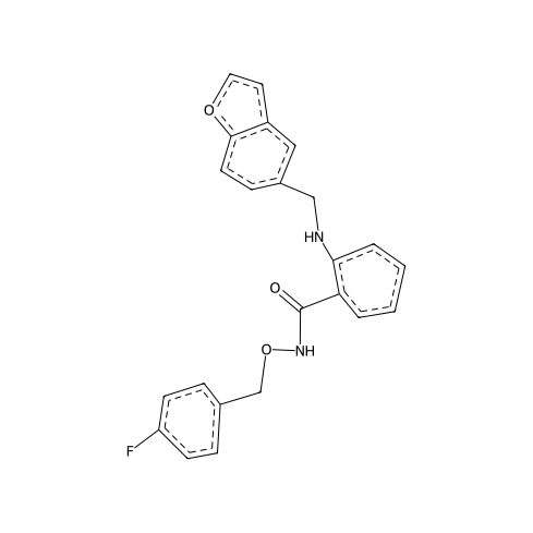 O=C(NOCc1ccc(F)cc1)c1ccccc1NCc1ccc2occc2c1